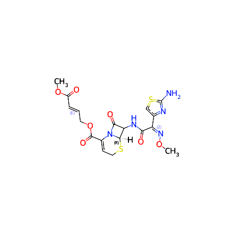 CO/N=C(\C(=O)NC1C(=O)N2C(C(=O)OC/C=C/C(=O)OC)=CCS[C@H]12)c1csc(N)n1